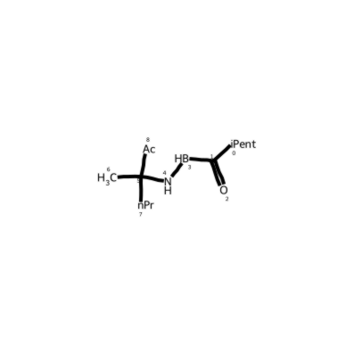 CCCC(C)C(=O)BNC(C)(CCC)C(C)=O